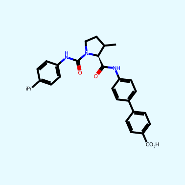 CC(C)c1ccc(NC(=O)N2CCC(C)[C@H]2C(=O)Nc2ccc(-c3ccc(C(=O)O)cc3)cc2)cc1